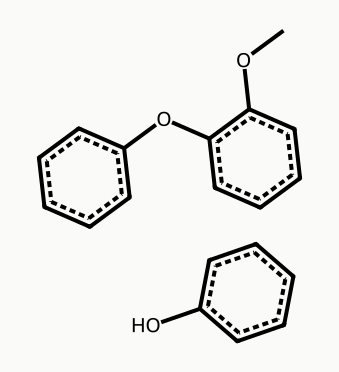 COc1ccccc1Oc1ccccc1.Oc1ccccc1